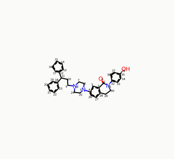 O=C1c2cc(N3CCN(CCC(c4ccccc4)c4ccccc4)CC3)ccc2CCN1c1ccc(O)cc1